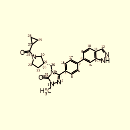 Cn1nc(-c2ccc(-c3ccc4cn[nH]c4c3)cc2)n(C[C@@H]2CCN(C(=O)C3CC3)C2)c1=O